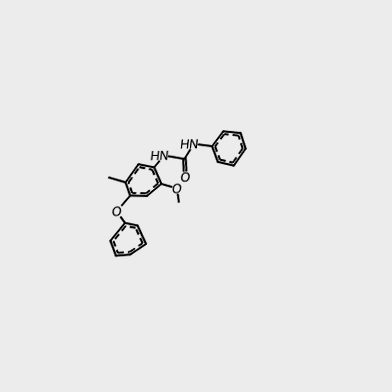 COc1cc(Oc2ccccc2)c(C)cc1NC(=O)Nc1ccccc1